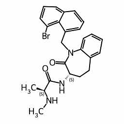 CN[C@@H](C)C(=O)N[C@H]1CCc2ccccc2N(Cc2cccc3cccc(Br)c23)C1=O